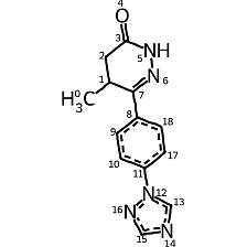 CC1CC(=O)NN=C1c1ccc(-n2cncn2)cc1